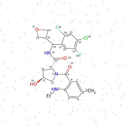 CCNc1ccc(C)cc1C(=O)N1C[C@@H](O)C[C@@H]1C(=O)NC(c1cc(F)c(Cl)cc1F)C1COC1